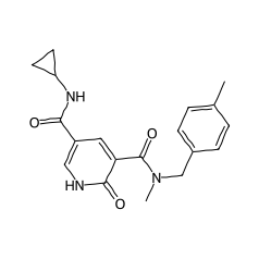 Cc1ccc(CN(C)C(=O)c2cc(C(=O)NC3CC3)c[nH]c2=O)cc1